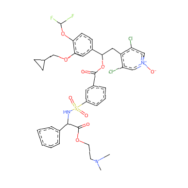 CN(C)CCOC(=O)C(NS(=O)(=O)c1cccc(C(=O)OC(Cc2c(Cl)c[n+]([O-])cc2Cl)c2ccc(OC(F)F)c(OCC3CC3)c2)c1)c1ccccc1